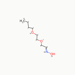 CCCCOCCOC/C=N/O